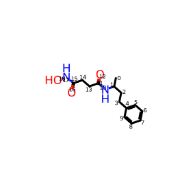 CC(CCc1ccccc1)NC(=O)CCC(=O)NO